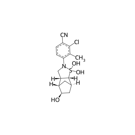 Cc1c(N2C[C@H]3[C@@H]4C[C@H](C[C@H]4O)[C@H]3S2(O)O)ccc(C#N)c1Cl